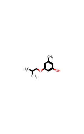 Cc1cc(O)cc(OCC(C)C)c1